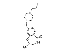 CC1CNC(=O)c2ccc(OC3CCN(CCF)CC3)cc2O1